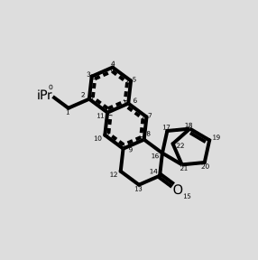 CC(C)Cc1cccc2cc3c(cc12)CCC(=O)C31CC2=CCC1C2